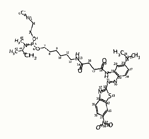 [C-]#[N+]CCOP(OCCCCCCNC(=O)CCC(=O)Nc1cc(N(C)C)ccc1N=Nc1nc2ccc([N+](=O)[O-])cc2s1)N(C)C(C)C